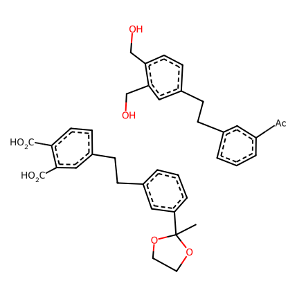 CC(=O)c1cccc(CCc2ccc(CO)c(CO)c2)c1.CC1(c2cccc(CCc3ccc(C(=O)O)c(C(=O)O)c3)c2)OCCO1